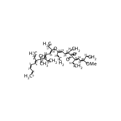 C=C/C=C\C=C(/C=C)C(C)(C)/C(C=C)=C/C=C(\C=C)O/C(C=C)=C/C=C(\C=C)S(=O)(=O)/C(C=C)=C/C=C(\C=C)OC